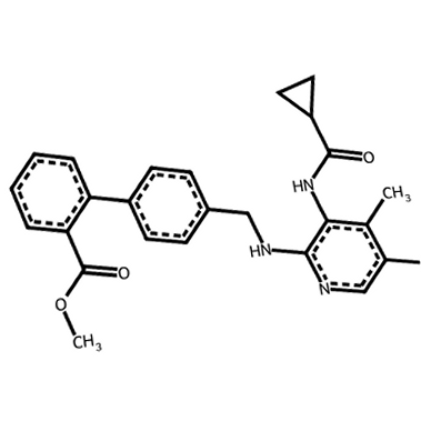 COC(=O)c1ccccc1-c1ccc(CNc2ncc(Cl)c(C)c2NC(=O)C2CC2)cc1